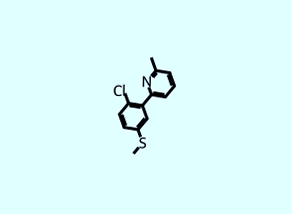 CSc1ccc(Cl)c(-c2cccc(C)n2)c1